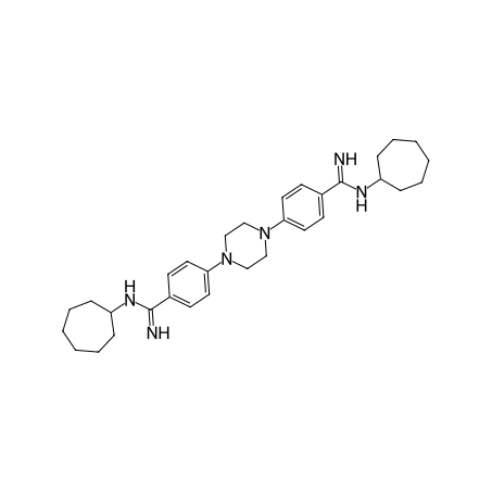 N=C(NC1CCCCCC1)c1ccc(N2CCN(c3ccc(C(=N)NC4CCCCCC4)cc3)CC2)cc1